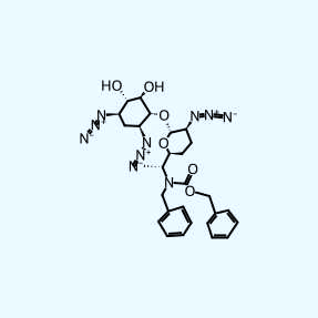 C[C@H]([C@@H]1CC[C@H](N=[N+]=[N-])[C@@H](O[C@H]2[C@H](O)[C@@H](O)[C@H](N=[N+]=[N-])C[C@@H]2N=[N+]=[N-])O1)N(Cc1ccccc1)C(=O)OCc1ccccc1